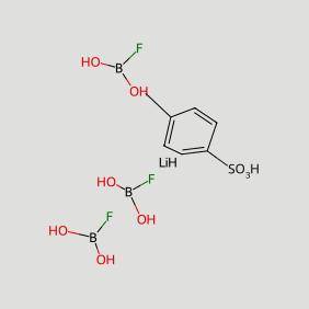 Cc1ccc(S(=O)(=O)O)cc1.OB(O)F.OB(O)F.OB(O)F.[LiH]